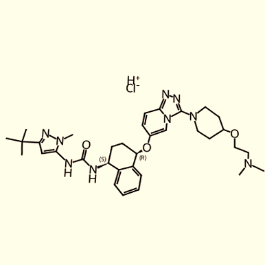 CN(C)CCOC1CCN(c2nnc3ccc(O[C@@H]4CC[C@H](NC(=O)Nc5cc(C(C)(C)C)nn5C)c5ccccc54)cn23)CC1.[Cl-].[H+]